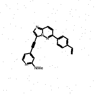 C=Cc1ccc(-c2ccc3ncc(C#Cc4ccnc(NC)c4)n3n2)cc1